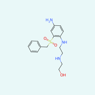 Nc1ccc(NCCNCCO)c(S(=O)(=O)Cc2ccccc2)c1